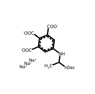 CCCCCCCCCCC(C)Nc1cc(C(=O)[O-])c(C(=O)[O-])c(C(=O)[O-])c1.[Na+].[Na+].[Na+]